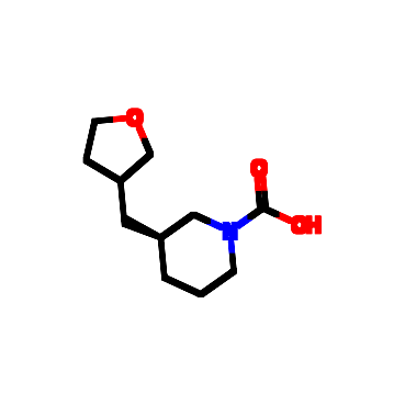 O=C(O)N1CCC[C@@H](CC2CCOC2)C1